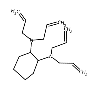 C=CCN(CC=C)C1CCCCC1N(CC=C)CC=C